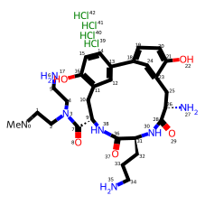 CNCCN(CCN)C(=O)[C@@H]1Cc2cc(ccc2O)-c2ccc(O)c(c2)C[C@H](N)C(=O)N[C@@H](CCCN)C(=O)N1.Cl.Cl.Cl.Cl